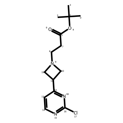 CC(C)(C)OC(=O)CCN1CC(c2ccnc(Cl)n2)C1